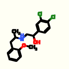 COc1ccccc1CC(C)NC[C@H](O)c1ccc(Cl)c(Cl)c1